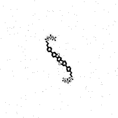 C[Si](C)(C)O[Si](C)(C)O[Si](C)(C)CCCc1ccc(-c2ccc3c(c2)oc2cc4c(cc23)oc2cc(-c3ccc(CCC[Si](C)(C)O[Si](C)(C)O[Si](C)(C)C)cc3)ccc24)cc1